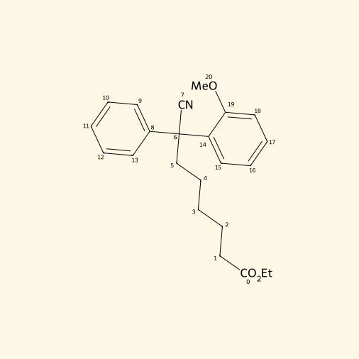 CCOC(=O)CCCCCC(C#N)(c1ccccc1)c1ccccc1OC